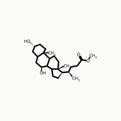 COC(=O)CC[C@@H](C)[C@H]1CCC2C3C(CC[C@@]21C)[C@@]1(C)CC[C@@H](O)CC1C[C@@H]3O